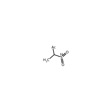 CC(=O)C(C)[SH](=O)=O